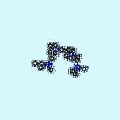 c1ccc(-c2cc(-c3cccc(-c4cccc5c4N(c4ccccc4)c4ccccc4C54c5ccccc5-c5c(-c6ccc(N7c8ccccc8C8(c9ccccc9-c9ccccc98)c8cc(-c9ccc(-c%10cc(-c%11ccc(-c%12ccccc%12)c%12ccccc%11%12)nc(-c%11ccccc%11)n%10)cc9)ccc87)cc6)cccc54)c3)nc(-c3cccc4ccccc34)n2)cc1